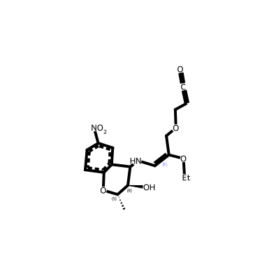 CCO/C(=C/NC1c2cc([N+](=O)[O-])ccc2O[C@@H](C)[C@@H]1O)COCC=C=O